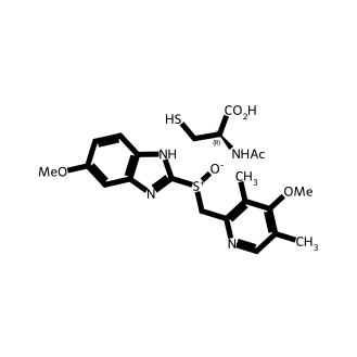 CC(=O)N[C@@H](CS)C(=O)O.COc1ccc2[nH]c([S+]([O-])Cc3ncc(C)c(OC)c3C)nc2c1